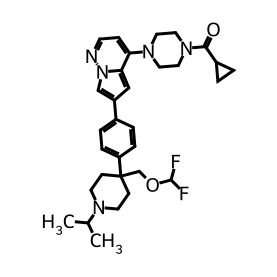 CC(C)N1CCC(COC(F)F)(c2ccc(-c3cc4c(N5CCN(C(=O)C6CC6)CC5)ccnn4c3)cc2)CC1